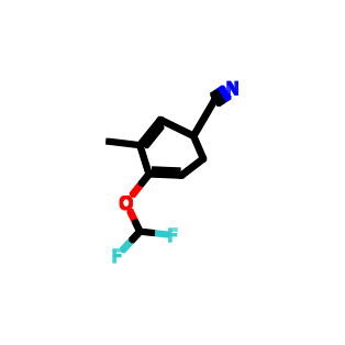 CC1=CC(C#N)CC=C1OC(F)F